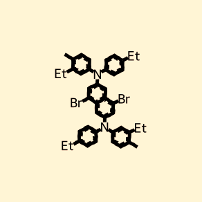 CCc1ccc(N(c2ccc(C)c(CC)c2)c2cc(Br)c3cc(N(c4ccc(CC)cc4)c4ccc(C)c(CC)c4)cc(Br)c3c2)cc1